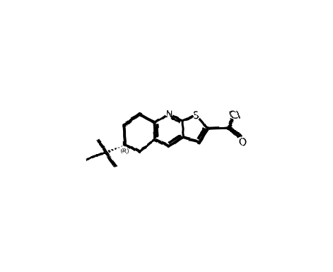 CC(C)(C)[C@@H]1CCc2nc3sc(C(=O)Cl)cc3cc2C1